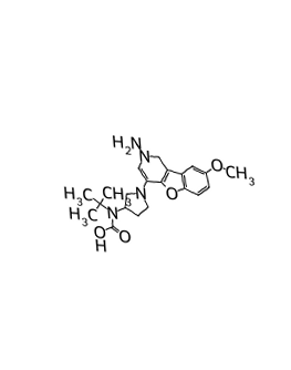 COc1ccc2oc3c(c2c1)CN(N)C=C3N1CCC(N(C(=O)O)C(C)(C)C)C1